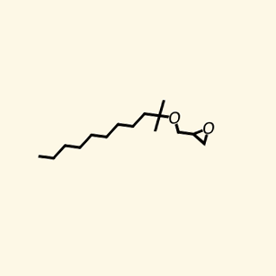 CCCCCCCCCC(C)(C)OCC1CO1